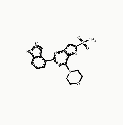 CS(=O)(=O)c1cc2nc(-c3cccc4[nH]ncc34)nc(N3CCOCC3)c2s1